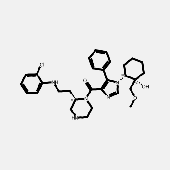 COC[C@]1(O)CCCC[C@H]1n1cnc(C(=O)N2CCNC[C@H]2CCNc2ccccc2Cl)c1-c1ccccc1